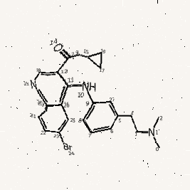 CN(C)CCc1cccc(Nc2c(C(=O)C3CC3)cnc3ccc(Br)cc23)c1